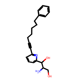 NC(CO)C(O)c1cccc(C#CCCCCCc2ccccc2)n1